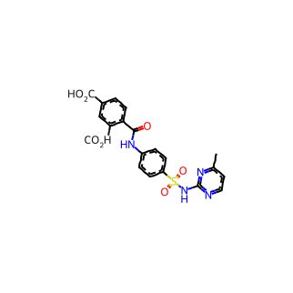 Cc1ccnc(NS(=O)(=O)c2ccc(NC(=O)c3ccc(C(=O)O)cc3C(=O)O)cc2)n1